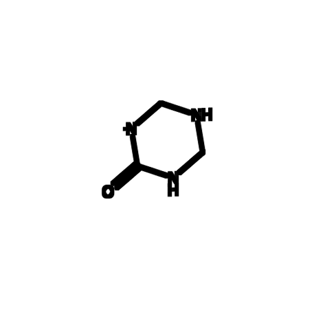 O=C1[N]CNCN1